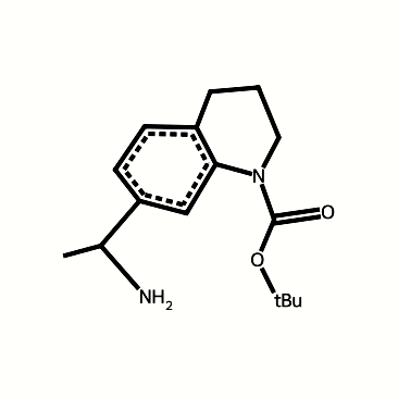 CC(N)c1ccc2c(c1)N(C(=O)OC(C)(C)C)CCC2